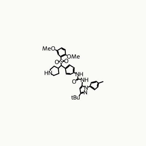 COc1ccc(OC)c(S(=O)(=O)C(c2ccc(NC(=O)Nc3cc(C(C)(C)C)nn3-c3ccc(C)cc3)cc2)C2CCNCC2)c1